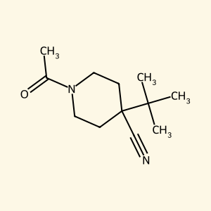 CC(=O)N1CCC(C#N)(C(C)(C)C)CC1